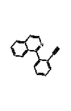 C#Cc1ccccc1-c1nccc2ccccc12